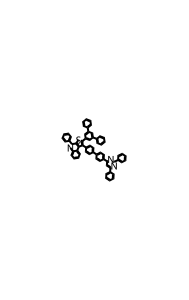 c1ccc(-c2cc(-c3ccccc3)cc(-c3sc4c(-c5ccccc5)nc5ccccc5c4c3-c3ccc(-c4ccc(-c5cc(-c6ccccc6)nc(-c6ccccc6)n5)cc4)cc3)c2)cc1